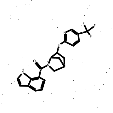 O=C(c1cccc2cc[nH]c12)N1CC2CC(Oc3ccc(C(F)(F)F)cn3)C1C2